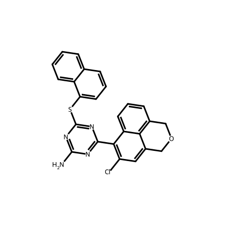 Nc1nc(Sc2cccc3ccccc23)nc(-c2c(Cl)cc3c4c(cccc24)COC3)n1